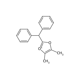 Cc1oc(C(c2ccccc2)c2ccccc2)[o+]c1C